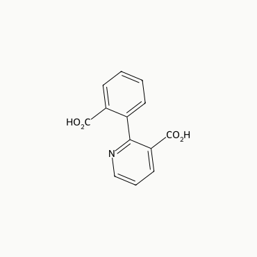 O=C(O)c1ccccc1-c1ncccc1C(=O)O